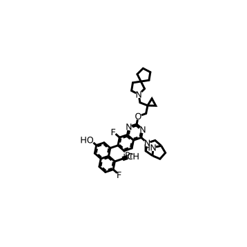 C#Cc1c(F)ccc2cc(O)cc(-c3c(C(C)C)cc4c(N5CC6CCC(C5)N6)nc(OCC5(CN6CCC7(CCCC7)C6)CC5)nc4c3F)c12